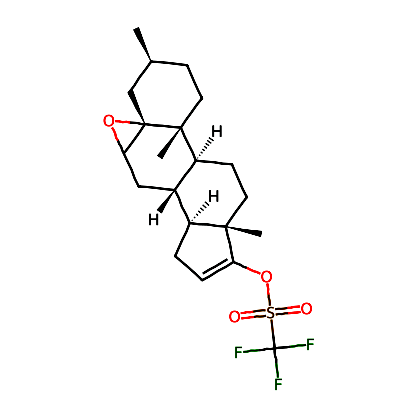 C[C@H]1CC[C@]2(C)[C@H]3CC[C@]4(C)C(OS(=O)(=O)C(F)(F)F)=CC[C@H]4[C@@H]3CC3O[C@@]32C1